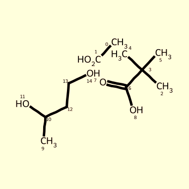 CC(=O)O.CC(C)(C)C(=O)O.CC(O)CCO